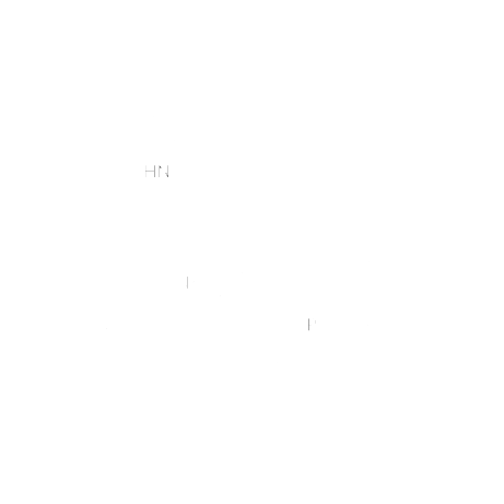 Cc1ccc(Nc2ccc3c4cc5c(cc4p(-c4ccccc4)c3c2)c2c3ccccc3ccc2p5-c2ccccc2)c(C)c1